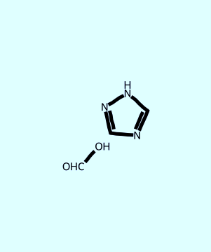 O=CO.c1nc[nH]n1